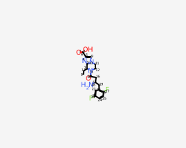 CCC1c2nc(C(=O)O)cn2CCN1C(=O)C[C@H](N)Cc1cc(F)ccc1F